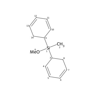 CO[Si](C)(C1C=CC=CC1)C1C=CC=CC1